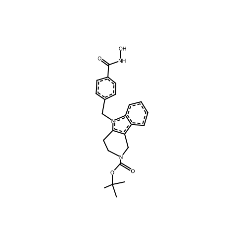 CC(C)(C)OC(=O)N1CCc2c(c3ccccc3n2Cc2ccc(C(=O)NO)cc2)C1